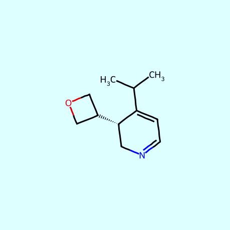 CC(C)C1=CC=NC[C@@H]1C1COC1